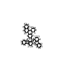 c1ccc(-c2c(-c3ccc(N(c4cccc5c4sc4ccccc45)c4cccc5c4sc4ccccc45)cc3)ccc3ccccc23)cc1